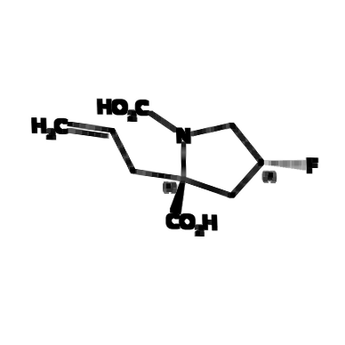 C=CC[C@@]1(C(=O)O)C[C@@H](F)CN1C(=O)O